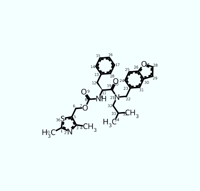 Cc1nc(C)c(COC(=O)N[C@@H](Cc2ccccc2)C(=O)N(Cc2ccc3occc3c2)CC(C)C)s1